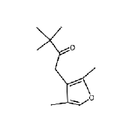 Cc1coc(C)c1CC(=O)C(C)(C)C